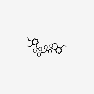 CCc1cccc(C(=O)OC(=O)CC(=O)OC(=O)c2cccc(CC)c2CC)c1CC